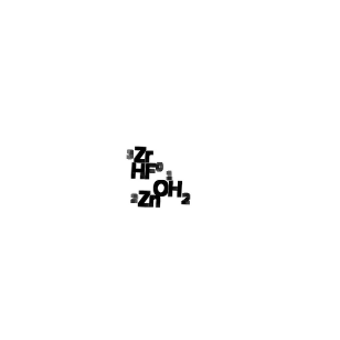 F.O.[Zn].[Zr]